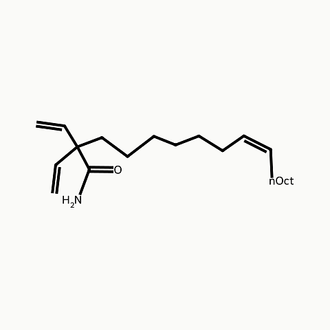 C=CC(C=C)(CCCCCC/C=C\CCCCCCCC)C(N)=O